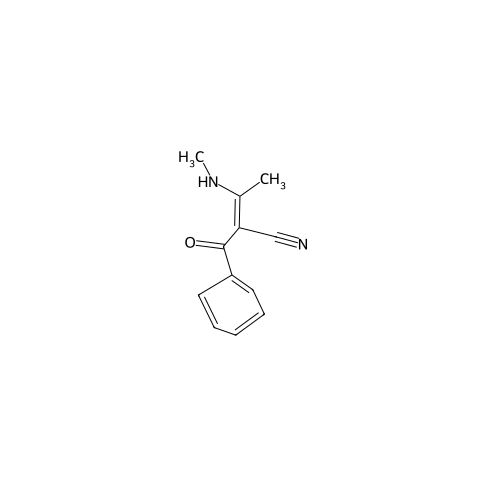 CNC(C)=C(C#N)C(=O)c1ccccc1